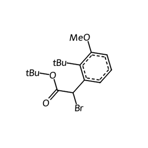 COc1cccc(C(Br)C(=O)OC(C)(C)C)c1C(C)(C)C